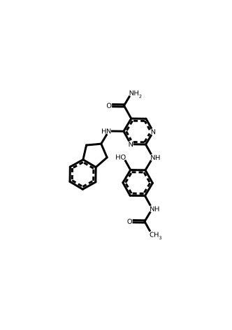 CC(=O)Nc1ccc(O)c(Nc2ncc(C(N)=O)c(NC3Cc4ccccc4C3)n2)c1